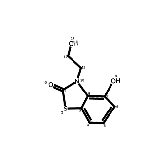 O=c1sc2cccc(O)c2n1CCO